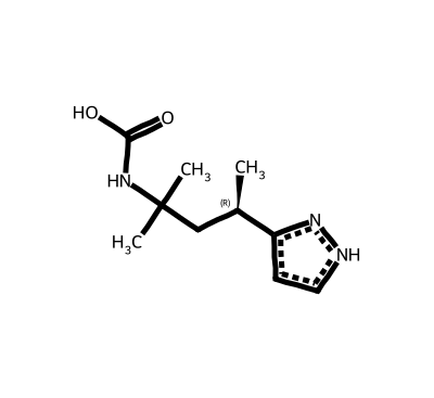 C[C@H](CC(C)(C)NC(=O)O)c1cc[nH]n1